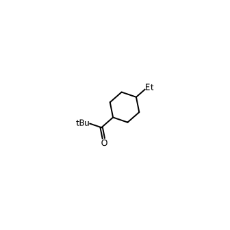 CCC1CCC(C(=O)C(C)(C)C)CC1